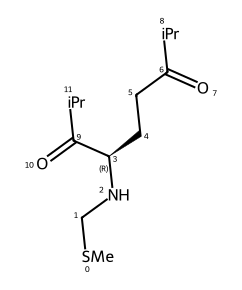 CSCN[C@H](CCC(=O)C(C)C)C(=O)C(C)C